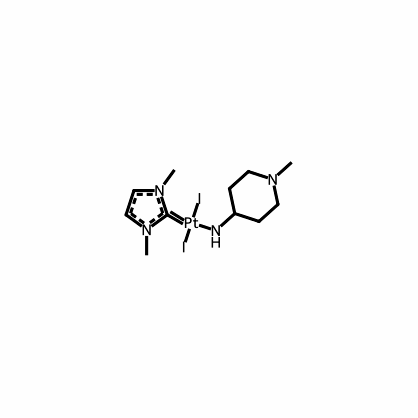 CN1CCC([NH][Pt]([I])([I])=[c]2n(C)ccn2C)CC1